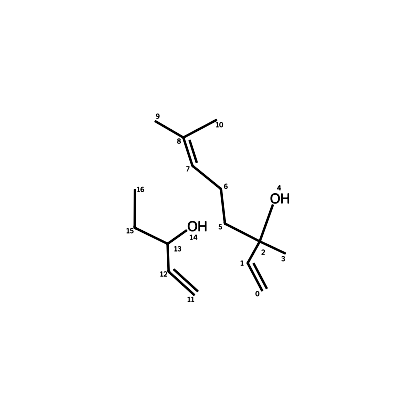 C=CC(C)(O)CCC=C(C)C.C=CC(O)CC